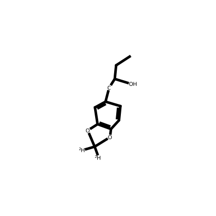 [2H]C1([2H])Oc2ccc(CC(O)CC)cc2O1